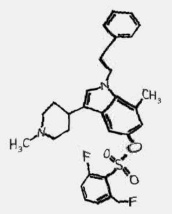 Cc1cc(OS(=O)(=O)c2c(F)cccc2F)cc2c(C3CCN(C)CC3)cn(CCc3ccccc3)c12